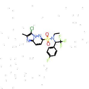 CCN([C@H](c1ccc(F)cc1)C(F)(F)F)S(=O)(=O)c1ccc2nc(C)c(Cl)n2n1